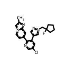 Cc1cn2ccc(-c3ncc(Cl)cc3-c3cnn(CC4(F)CCCC4)c3)cc2n1